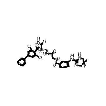 O=C(CNC(=O)c1cccc(NC2=NCC(F)(F)CN2)c1)NC[C@H](NC(=O)c1c(Cl)cc(-c2ccccc2)cc1Cl)C(=O)O